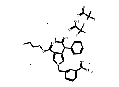 CCCCOC(=O)c1cn(Cc2cccc(C(=N)N)c2)cc1C(C(=N)N)c1ccccc1.O=C(O)C(F)(F)F.O=C(O)C(F)(F)F